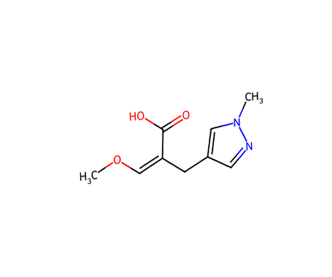 COC=C(Cc1cnn(C)c1)C(=O)O